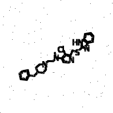 CN(CCN1CCC(Cc2ccccc2)CC1)c1ccnc(CSc2nc3ccccc3[nH]2)c1Cl